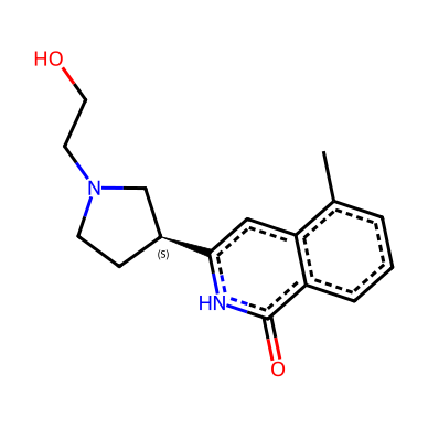 Cc1cccc2c(=O)[nH]c([C@H]3CCN(CCO)C3)cc12